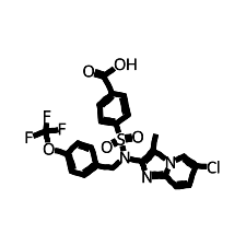 Cc1c(N(Cc2ccc(OC(F)(F)F)cc2)S(=O)(=O)c2ccc(C(=O)O)cc2)nc2ccc(Cl)cn12